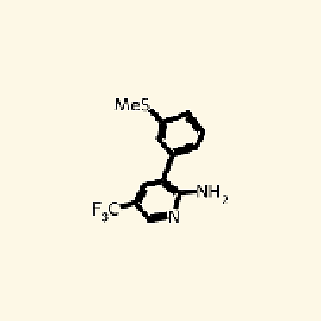 CSc1cccc(-c2cc(C(F)(F)F)cnc2N)c1